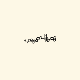 CCOC(=O)C[C@@H]1CCc2cc(OCCCNc3nccc(-c4ccc5c(c4)OCO5)n3)ccc21